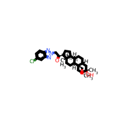 COC[C@]12CC[C@@](C)(O)C[C@H]1CC[C@H]1[C@@H]3CC[C@H](C(=O)Cn4nc5ccc(Cl)cc5n4)[C@@]3(C)CC[C@@H]12